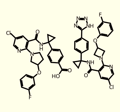 O=C(NC1(c2ccc(-c3nnn[nH]3)cc2)CC1)c1cc(Cl)cnc1N1CC(Oc2cccc(F)c2)C1.O=C(O)c1ccc(C2(NC(=O)c3cc(Cl)cnc3N3CCC(Oc4cccc(F)c4)C3)CC2)cc1